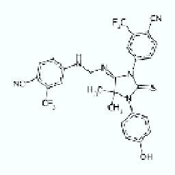 CC1(C)/C(=N\CNc2ccc(C#N)c(C(F)(F)F)c2)N(c2ccc(C#N)c(C(F)(F)F)c2)C(=S)N1c1ccc(O)cc1